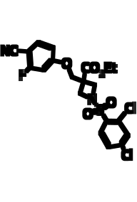 CCOC(=O)C1(COc2ccc(C#N)c(F)c2)CN(S(=O)(=O)c2ccc(Cl)cc2Cl)C1